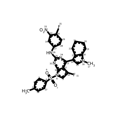 Cc1ccc(S(=O)(=O)n2cc(F)c3c(-c4cn(C)c5ccccc45)nc(Nc4ccc(F)c([N+](=O)[O-])c4)nc32)cc1